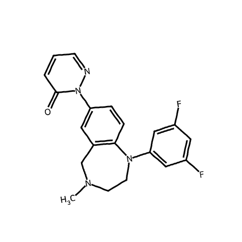 CN1CCN(c2cc(F)cc(F)c2)c2ccc(-n3ncccc3=O)cc2C1